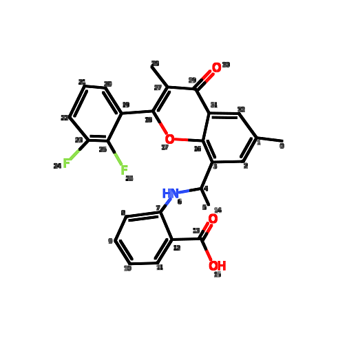 Cc1cc(C(C)Nc2ccccc2C(=O)O)c2oc(-c3cccc(F)c3F)c(C)c(=O)c2c1